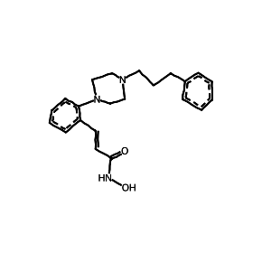 O=C(C=Cc1ccccc1N1CCN(CCCc2ccccc2)CC1)NO